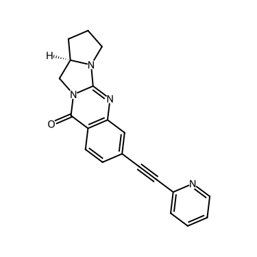 O=c1c2ccc(C#Cc3ccccn3)cc2nc2n1C[C@H]1CCCN21